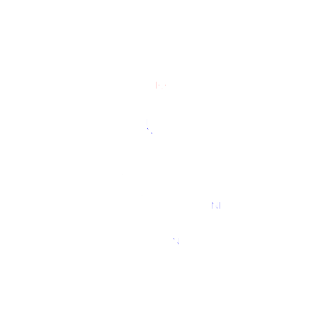 Oc1ccccc1C1Nc2ccccc2-c2ccnc3[nH]cc1c23